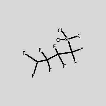 FC(F)C(F)(F)C(F)(F)C(F)(F)[Si](Cl)(Cl)Cl